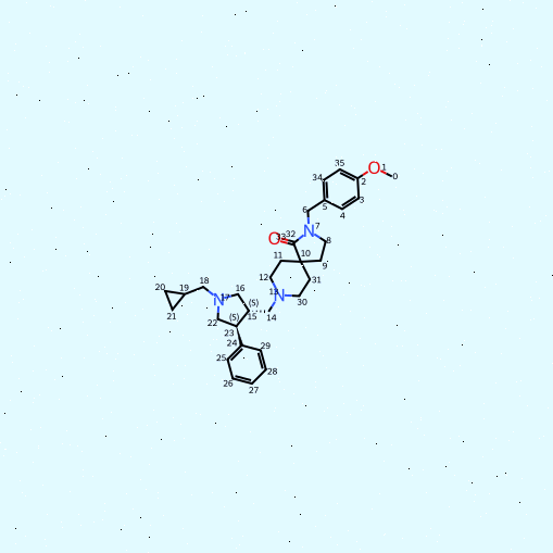 COc1ccc(CN2CCC3(CCN(C[C@H]4CN(CC5CC5)C[C@@H]4c4ccccc4)CC3)C2=O)cc1